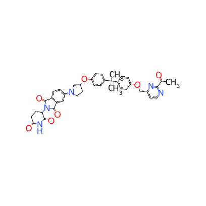 CC(=O)c1nccc(COc2ccc(C(C)(C)c3ccc(OC4CCN(c5ccc6c(c5)C(=O)N(C5CCC(=O)NC5=O)C6=O)C4)cc3)cc2)n1